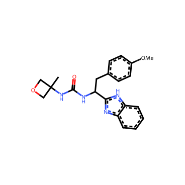 COc1ccc(CC(NC(=O)NC2(C)COC2)c2nc3ccccc3[nH]2)cc1